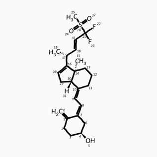 C=C1CC[C@H](O)C/C1=C/C=C1\CCC[C@]2(C)C([C@H](C)/C=C/C(F)(F)S(C)(=O)=O)=CC[C@@H]12